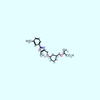 Cc1cccc(-c2nc(COC3CCCC(COC(C)C(=O)O)C3)c(C)o2)c1